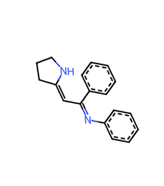 C(=C1CCCN1)C(=Nc1ccccc1)c1ccccc1